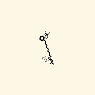 CC(C)=C[SiH2]CCCCCCCCCc1ccccc1OC(I)I